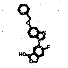 OB1OCc2cc(F)c(-n3cnc4cc(OCc5ccccc5)ccc43)cc21